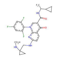 O=C(O)NC1(CNc2ccc3c(=O)c(C(=O)NC(C4CC4)C(F)(F)F)cn(-c4c(F)cc(F)cc4F)c3n2)CC1